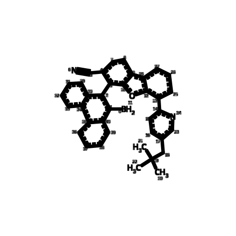 Bc1c(-c2c(C#N)ccc3c2oc2c(-c4ccc(CC(C)(C)C)cn4)cccc23)c2ccccc2c2ccccc12